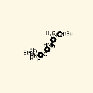 CCCCN1CCC(N(C)c2ccc(C(=O)Nc3ccc(Oc4ccc(NC(=O)NC(CC)CC)c(F)c4)cc3)cc2)CC1